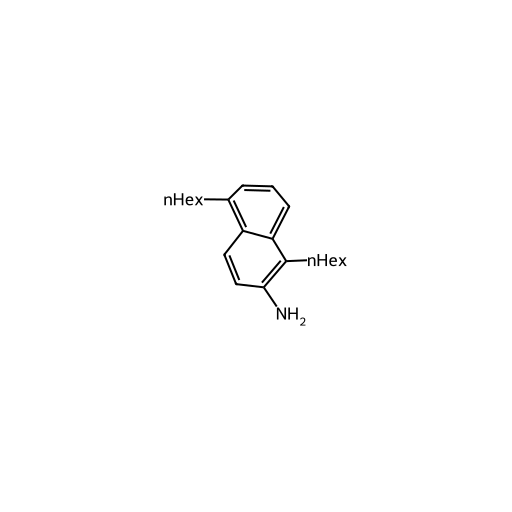 CCCCCCc1cccc2c(CCCCCC)c(N)ccc12